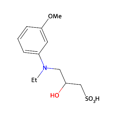 CCN(CC(O)CS(=O)(=O)O)c1cccc(OC)c1